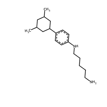 CC1CC(C)CC(c2ccc(NCCCCCN)cc2)C1